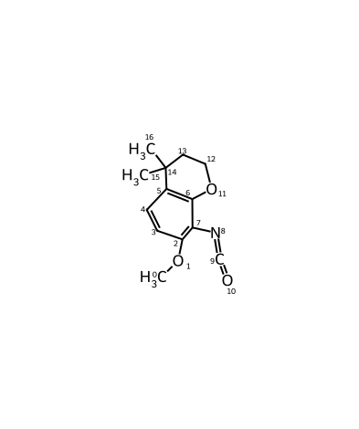 COc1ccc2c(c1N=C=O)OCCC2(C)C